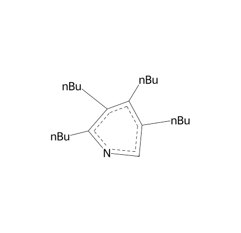 CCCCc1cnc(CCCC)c(CCCC)c1CCCC